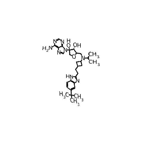 CC(C)N(CC1OC[C@](O)(n2cnc3c(N)ncnc32)[C@@H]1O)C1CC(CCc2nc3cc(C(C)(C)C)ccc3[nH]2)C1